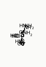 Cc1cccc2c(=O)[nH]c(CSC3CCN(C(=O)[C@H](N)CCCNC(=N)N)CC3)nc12.Cl.Cl.Cl